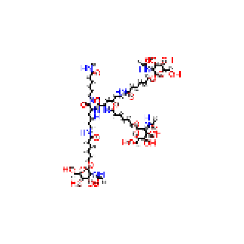 CNC(=O)CCCCCNC(=O)C(CCCCNC(=O)CCCCCOC1OC(CO)C(O)C(O)C1NC(C)=O)NC(=O)C(CCCCNC(=O)CCCCCOC1OC(CO)C(O)C(O)C1NC(C)=O)NC(=O)CCCCCOC1OC(CO)C(O)C(O)C1NC(C)=O